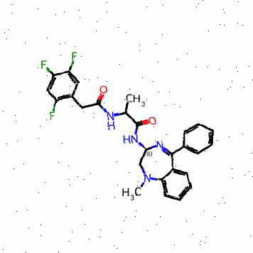 CC(NC(=O)Cc1cc(F)c(F)cc1F)C(=O)N[C@@H]1CN(C)c2ccccc2C(c2ccccc2)=N1